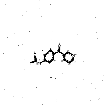 CC(=O)Nc1ccc(C(=O)c2cccnc2)cc1